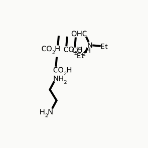 CC(=O)O.CC(=O)O.CC(=O)O.CC(=O)O.CCN(C=O)CC.NCCN